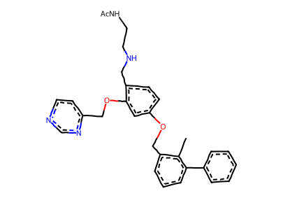 CC(=O)NCCNCc1ccc(OCc2cccc(-c3ccccc3)c2C)cc1OCc1ccncn1